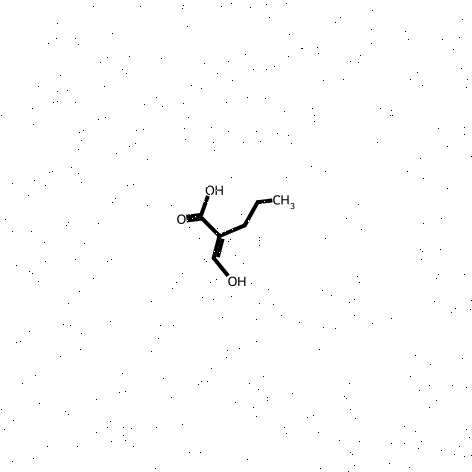 CCC/C(=C\O)C(=O)O